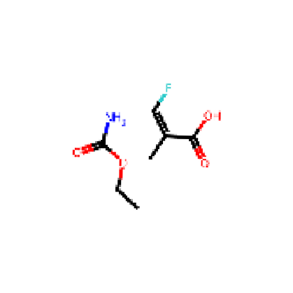 CC(=CF)C(=O)O.CCOC(N)=O